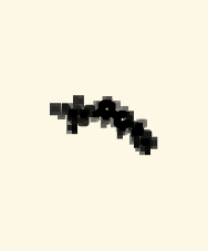 [2H]C([2H])([2H])OC1CN(c2ncc(-c3cccc(COC(=O)NC(=N)N)c3F)cc2F)C1